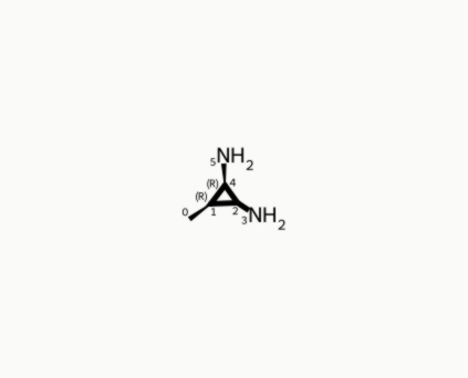 C[C@@H]1C(N)[C@@H]1N